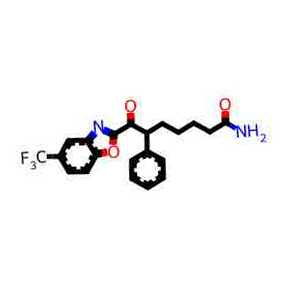 NC(=O)CCCCC(C(=O)c1nc2cc(C(F)(F)F)ccc2o1)c1ccccc1